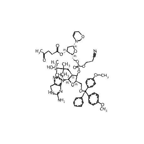 COc1ccc(C(OC[C@H]2O[C@@H](n3cnc4c3N=C(N)NC4)[C@@H](CC(C)(C)[Si](C)(C)O)C2OP(=O)(OCCC#N)OC[C@H]2O[C@@H](N3C=CCOC3)C[C@H]2OC(=O)CCC(C)=O)(c2ccccc2)c2ccc(OC)cc2)cc1